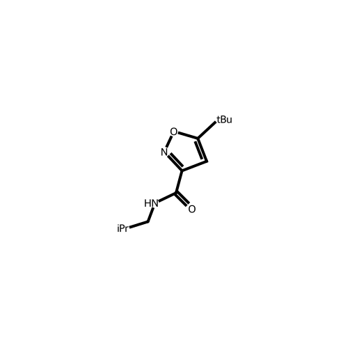 CC(C)CNC(=O)c1cc(C(C)(C)C)on1